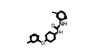 Cc1cccc(NC(=O)NC2CCC(Oc3cccc(C)c3)CC2)c1